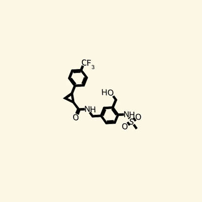 CS(=O)(=O)Nc1ccc(CNC(=O)C2CC2c2ccc(C(F)(F)F)cc2)cc1CO